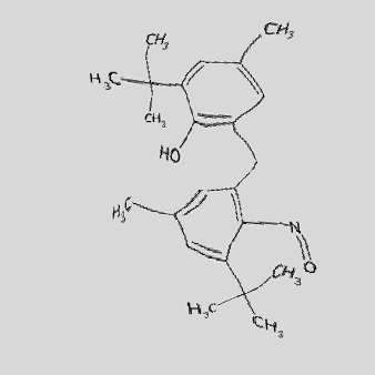 Cc1cc(Cc2cc(C)cc(C(C)(C)C)c2N=O)c(O)c(C(C)(C)C)c1